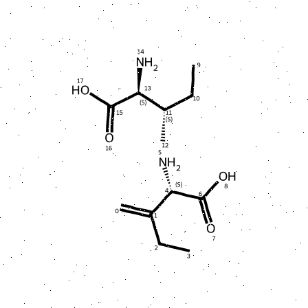 C=C(CC)[C@H](N)C(=O)O.CC[C@H](C)[C@H](N)C(=O)O